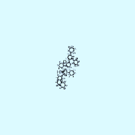 c1ccc(C2=NC(c3cccc4oc5c(-c6ccc(-c7ccccc7)cc6-c6ccccc6)cccc5c34)NC(c3ccc4ccc5ccccc5c4c3)=N2)cc1